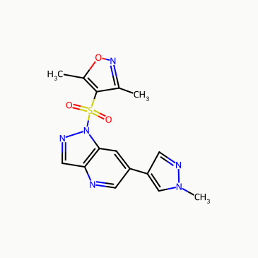 Cc1noc(C)c1S(=O)(=O)n1ncc2ncc(-c3cnn(C)c3)cc21